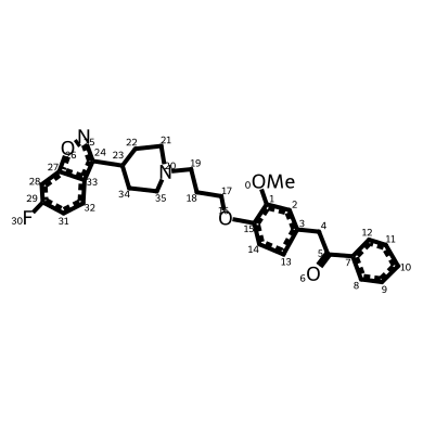 COc1cc(CC(=O)c2ccccc2)ccc1OCCCN1CCC(c2noc3cc(F)ccc23)CC1